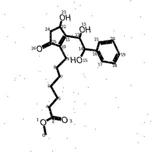 COC(=O)CCCCCCC1=C(C(O)C(O)c2ccccc2)C(O)CC1=O